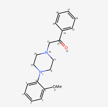 COc1ccccc1N1CCN(CC(=O)c2ccccc2)CC1